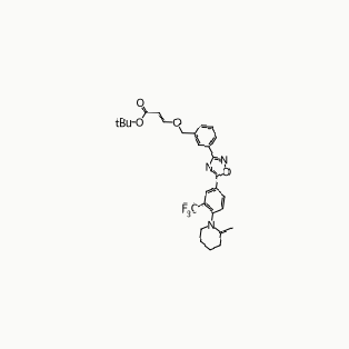 CC1CCCCN1c1ccc(-c2nc(-c3cccc(COCCC(=O)OC(C)(C)C)c3)no2)cc1C(F)(F)F